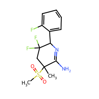 CC1(S(C)(=O)=O)CC(F)(F)C(c2ccccc2F)N=C1N